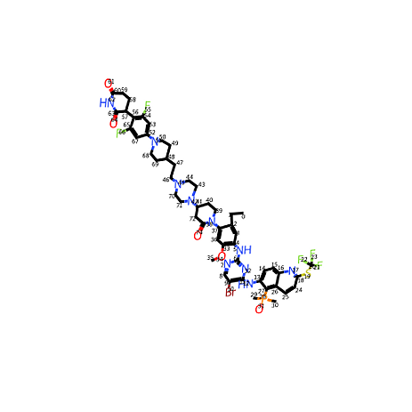 CCc1cc(Nc2ncc(Br)c(Nc3ccc4nc(SC(F)(F)F)ccc4c3P(C)(C)=O)n2)c(OC)cc1N1CCC(N2CCN(CCC3CCN(c4cc(F)c(C5CCC(=O)NC5=O)c(F)c4)CC3)CC2)CC1=O